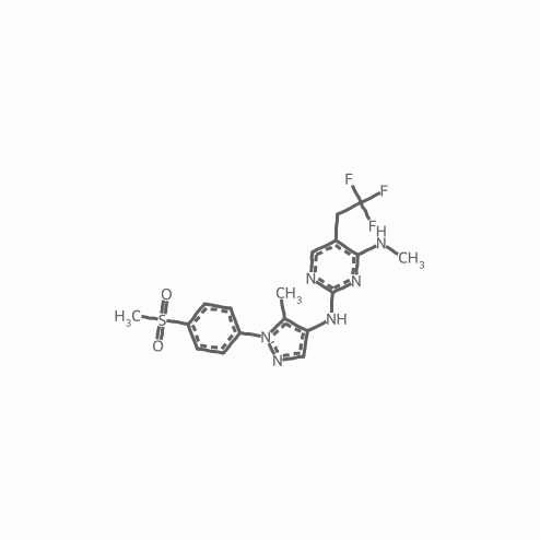 CNc1nc(Nc2cnn(-c3ccc(S(C)(=O)=O)cc3)c2C)ncc1CC(F)(F)F